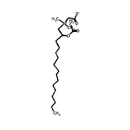 CCCCCCCCCCCCCCC(C[N+](C)(C)CC(=O)[O-])OC(C)=O